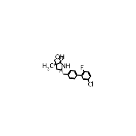 C[C@]1(CO)C[C@@H](Cc2ccc(-c3cc(Cl)ccc3F)cc2)NC1=O